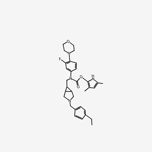 CCc1ccc(CN2CC3C(C2)C3CN(C(=O)Oc2[nH]c(C)cc2C)c2ccc(N3CCOCC3)c(F)c2)cc1